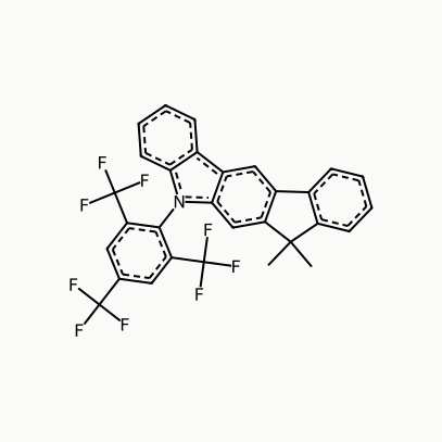 CC1(C)c2ccccc2-c2cc3c4ccccc4n(-c4c(C(F)(F)F)cc(C(F)(F)F)cc4C(F)(F)F)c3cc21